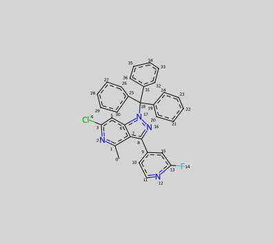 Cc1nc(Cl)cc2c1c(-c1ccnc(F)c1)nn2C(c1ccccc1)(c1ccccc1)c1ccccc1